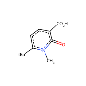 Cn1c(C(C)(C)C)ccc(C(=O)O)c1=O